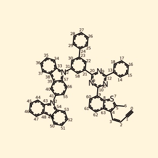 C#C/C=C\c1c(C)sc2c(-c3nc(-c4ccccc4)nc(-c4cc(-c5ccccc5)cc(-n5c6ccccc6c6cc(-n7c8ccccc8c8ccccc87)ccc65)c4)n3)cccc12